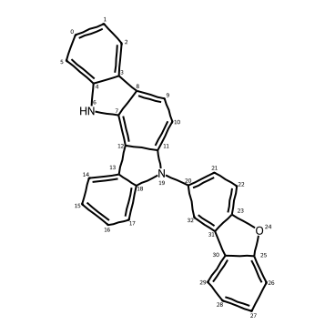 c1ccc2c(c1)[nH]c1c2ccc2c1c1ccccc1n2-c1ccc2oc3ccccc3c2c1